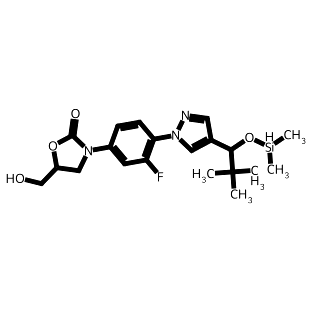 C[SiH](C)OC(c1cnn(-c2ccc(N3CC(CO)OC3=O)cc2F)c1)C(C)(C)C